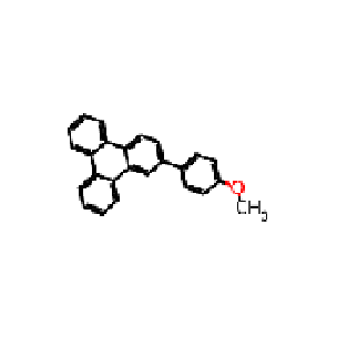 COc1ccc(-c2ccc3c4ccccc4c4ccccc4c3c2)cc1